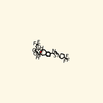 O=S1(=O)N[C@@]2(CN1CC(F)(F)F)[C@@H]1CC[C@H]2Cc2ccc(-c3ncc(N4CCC(C(F)(F)F)CC4)s3)cc2C1